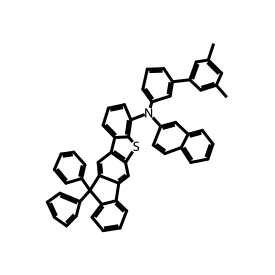 Cc1cc(C)cc(-c2cccc(N(c3ccc4ccccc4c3)c3cccc4c3sc3cc5c(cc34)C(c3ccccc3)(c3ccccc3)c3ccccc3-5)c2)c1